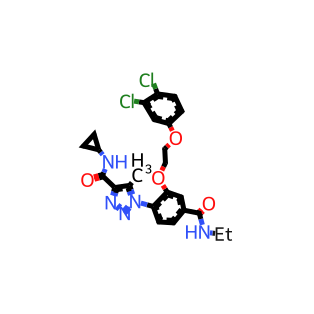 CCNC(=O)c1ccc(-n2nnc(C(=O)NC3CC3)c2C)c(OCCOc2ccc(Cl)c(Cl)c2)c1